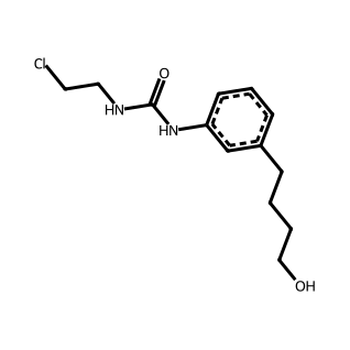 O=C(NCCCl)Nc1cccc(CCCCO)c1